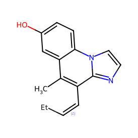 CC/C=C\c1c(C)c2cc(O)ccc2n2ccnc12